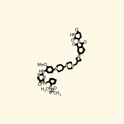 COc1cc(N2CCC(N3CCN(CC4CN(c5ccc6c(c5)C(=O)N(C5CCC(=O)NC5=O)C6=O)C4)CC3)CC2)ccc1Nc1ncc(Cl)c(Nc2ccccc2N(C)S(C)(=O)=O)n1